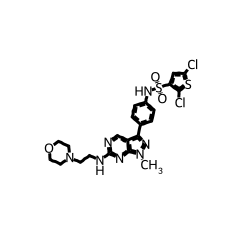 Cn1nc(-c2ccc(NS(=O)(=O)c3cc(Cl)sc3Cl)cc2)c2cnc(NCCN3CCOCC3)nc21